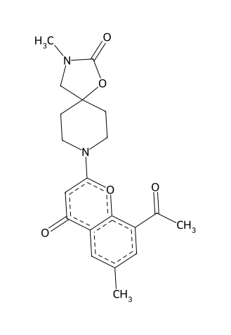 CC(=O)c1cc(C)cc2c(=O)cc(N3CCC4(CC3)CN(C)C(=O)O4)oc12